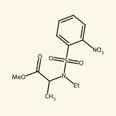 CCN(C(C)C(=O)OC)S(=O)(=O)c1ccccc1[N+](=O)[O-]